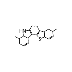 CC1C=CC2SC3=C(CCC4=C3C3C=CCC(C)C3N4)C2C1